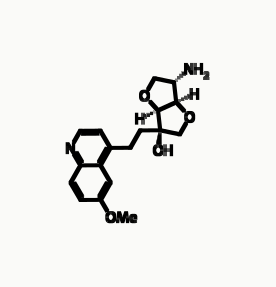 COc1ccc2nccc(CC[C@@]3(O)CO[C@@H]4[C@@H](N)CO[C@@H]43)c2c1